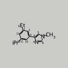 CCc1cc(-c2cn(C)cn2)cc(C(C)C)c1